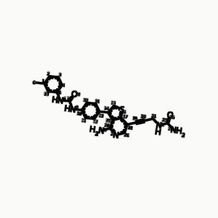 Cc1cccc(NC(=O)Nc2ccc(-c3csc4c(C#CCNC(N)=O)cnc(N)c34)cc2)c1